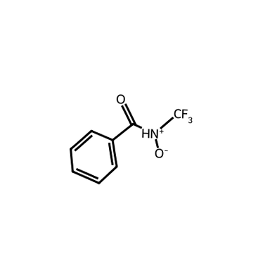 O=C(c1ccccc1)[NH+]([O-])C(F)(F)F